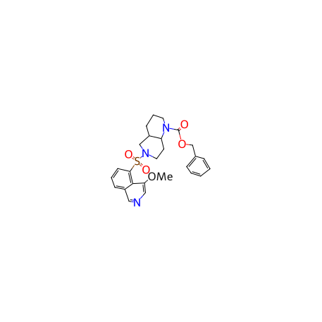 COc1cncc2cccc(S(=O)(=O)N3CCC4C(CCCN4C(=O)OCc4ccccc4)C3)c12